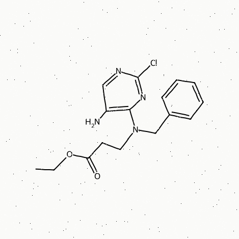 CCOC(=O)CCN(Cc1ccccc1)c1nc(Cl)ncc1N